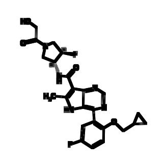 Cc1[nH]c2c(-c3cc(F)ccc3OCC3CC3)ncnc2c1C(=O)N[C@@H]1CN(C(=O)CO)C[C@H]1F